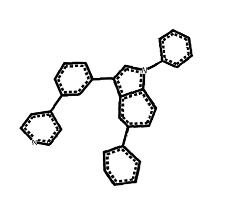 c1ccc(-c2ccc3c(c2)c(-c2cccc(-c4ccncc4)c2)cn3-c2ccccc2)cc1